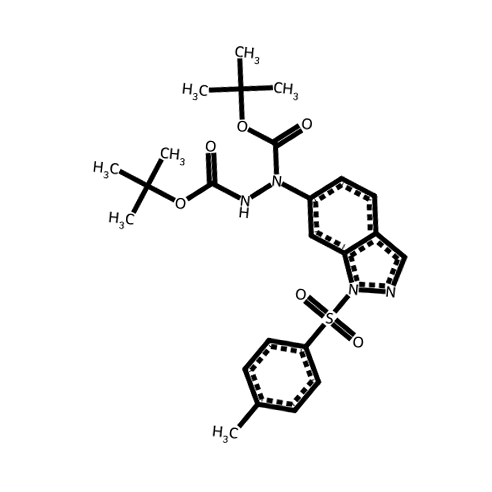 Cc1ccc(S(=O)(=O)n2ncc3ccc(N(NC(=O)OC(C)(C)C)C(=O)OC(C)(C)C)cc32)cc1